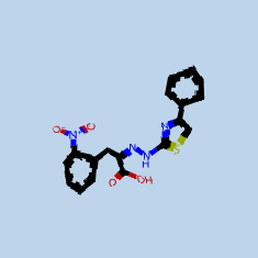 O=C(O)/C(Cc1ccccc1[N+](=O)[O-])=N\Nc1nc(-c2ccccc2)cs1